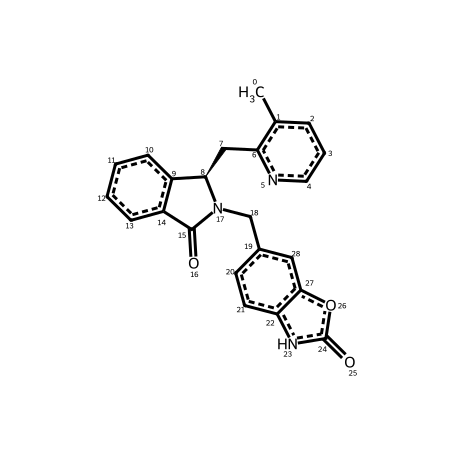 Cc1cccnc1C[C@@H]1c2ccccc2C(=O)N1Cc1ccc2[nH]c(=O)oc2c1